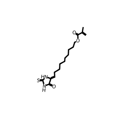 C=C(C)C(=O)OCCCCCCCCC/C=C1\NC(=S)NC1=O